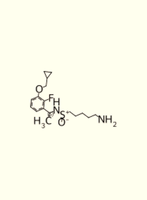 C[C@H](N[S+]([O-])CCCCCN)c1cccc(OCC2CC2)c1F